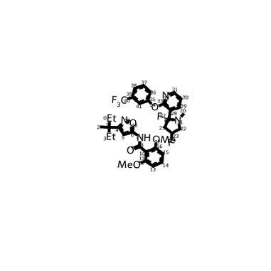 CCC(C)(CC)c1cc(NC(=O)c2c(OC)cccc2OC)on1.CN1CC(F)C[C@@]1(F)c1cccnc1Oc1cccc(C(F)(F)F)c1